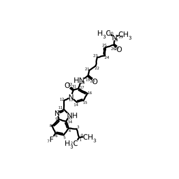 CC(C)Cc1cc(F)cc2nc(Cn3cccc(NC(=O)CCC/C=C/C(=O)N(C)C)c3=O)[nH]c12